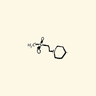 CS(=O)(=O)CCN1CC[CH]CC1